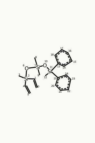 C=C[Si](C)(C=C)O[Si](C)(C)O[Si](C)(c1ccccc1)c1ccccc1